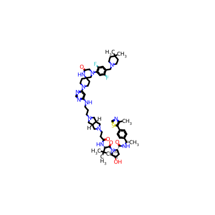 Cc1ncsc1-c1ccc([C@H](C)NC(=O)[C@@H]2C[C@@H](O)CN2C(=O)[C@@H](NC(=O)CCN2C[C@H]3CN(CCCNc4cc(N5CCC6(CC5)CN(c5cc(F)c(CN7CCC(C)(C)CC7)cc5F)CC(=O)N6)ncn4)C[C@H]3C2)C(C)(C)C)cc1